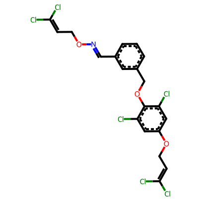 ClC(Cl)=CCO/N=C/c1cccc(COc2c(Cl)cc(OCC=C(Cl)Cl)cc2Cl)c1